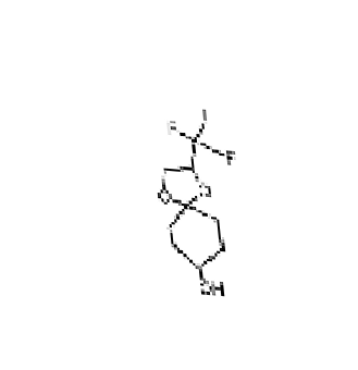 OC1CCC2(CC1)OCC(C(F)(F)F)O2